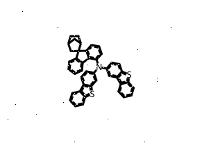 c1ccc2c(c1)-c1c(N(c3ccc4c(c3)sc3ccccc34)c3ccc4sc5ccccc5c4c3)cccc1C21CC2CCC1C2